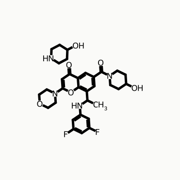 CC(Nc1cc(F)cc(F)c1)c1cc(C(=O)N2CCC(O)CC2)cc2c(=O)cc(N3CCOCC3)oc12.OC1CCNCC1